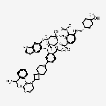 CC(C)c1ccccc1[C@@H]1COCCN1C1CC2(CCN(c3ccc(C(=O)NS(=O)(=O)c4ccc(NC[C@H]5CC[C@](C)(O)CC5)c([N+](=O)[O-])c4)c(N4c5cc6cc[nH]c6nc5O[C@H]5C[C@@](C)(O)CC[C@@H]54)c3)CC2)C1